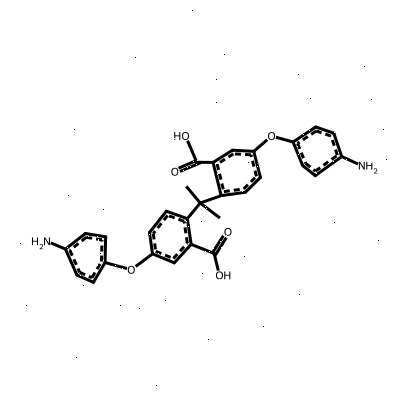 CC(C)(c1ccc(Oc2ccc(N)cc2)cc1C(=O)O)c1ccc(Oc2ccc(N)cc2)cc1C(=O)O